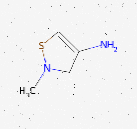 CN1CC(N)=CS1